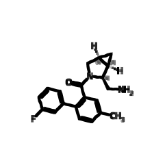 Cc1ccc(-c2cccc(F)c2)c(C(=O)N2C[C@H]3C[C@H]3[C@H]2CN)c1